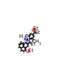 CCOc1ccc2ccccc2c1Cc1c(CC)nn(-c2c(C)cc(C(CC)OCC)cc2C)c1CC